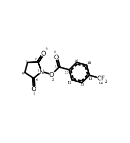 O=C(ON1C(=O)CCC1=O)c1ccc(C(F)(F)F)cc1